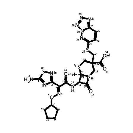 Nc1nc(C(=NOC2CCCC2)C(=O)NC2C(=O)N3CC(CSc4ccc5nnnn5n4)(C(=O)O)CS[C@H]23)ns1